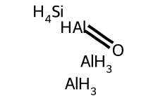 [AlH3].[AlH3].[O]=[AlH].[SiH4]